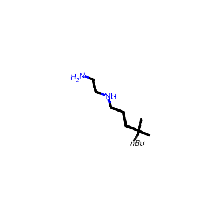 CCCCC(C)(C)CCCNCCN